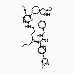 CCCC1/C(=[N+](/C(=O)NCc2ccccc2)c2ccc(-c3cnn(C)c3)cn2)C1CCCNc1ncc(C#N)c(N2CCCC3(CNC(=O)C3)C2)n1